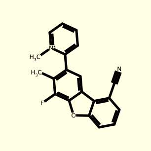 Cc1c(-c2cccc[n+]2C)cc2c(oc3cccc(C#N)c32)c1F